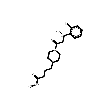 N[C@@H](CC(=O)N1CCC(CCCC(=O)NO)CC1)c1ccccc1Cl